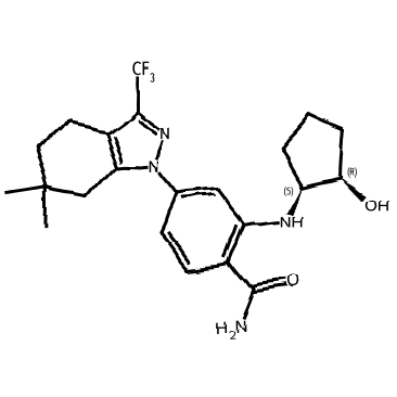 CC1(C)CCc2c(C(F)(F)F)nn(-c3ccc(C(N)=O)c(N[C@H]4CCC[C@H]4O)c3)c2C1